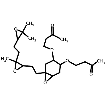 CC(=O)CCOC1CC2OC2(CCC2OC2(C)CCC2OC2(C)C)CC1OCCC(C)=O